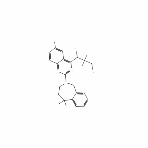 Cc1ccc2nc(N3CCC(F)(F)c4ccccc4C3)nc(C(N)C(F)(F)CN)c2c1